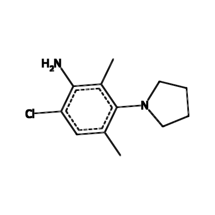 Cc1cc(Cl)c(N)c(C)c1N1CCCC1